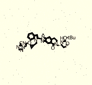 Cn1c(-c2cc3cccc(OCCn4ncnc4C#N)c3n2CC2CC2)nc2cc3c(cc21)CCN(C[C@@H](CF)NC(=O)OC(C)(C)C)C3=O